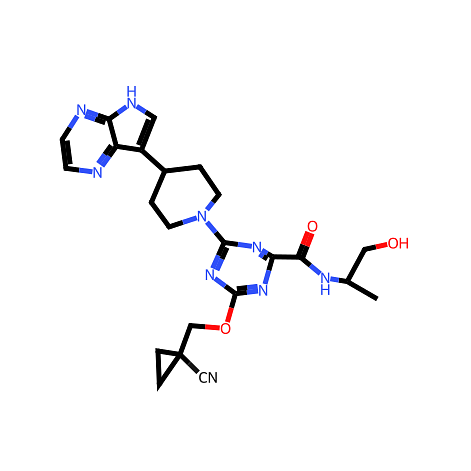 CC(CO)NC(=O)c1nc(OCC2(C#N)CC2)nc(N2CCC(c3c[nH]c4nccnc34)CC2)n1